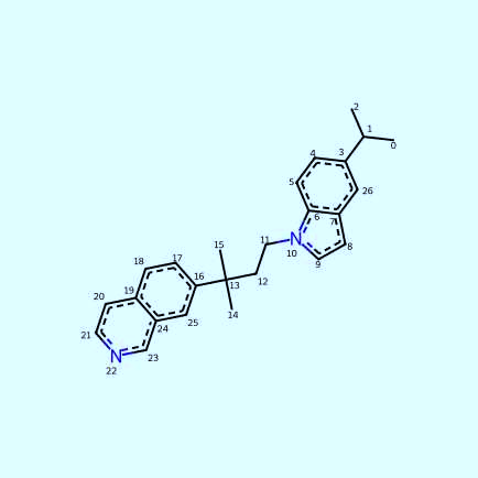 CC(C)c1ccc2c(ccn2CCC(C)(C)c2ccc3ccncc3c2)c1